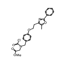 COC(=O)CN(Cc1ccc(OCCc2nc(-c3ccccc3)oc2C)cc1)C(=O)Cl